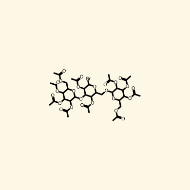 CC(=O)OCC1OC(OCC2OC(Br)C(OC(C)=O)C(OC3OC(COC(C)=O)C(OC(C)=O)C(OC(C)=O)C3OC(C)=O)C2OC(C)=O)C(OC(C)=O)C(OC(C)=O)C1OC(C)=O